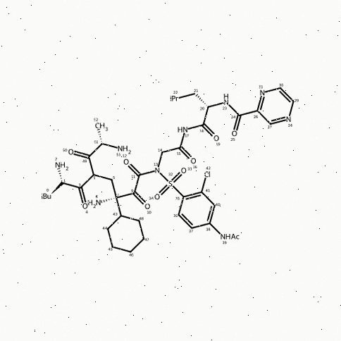 CC[C@H](C)[C@H](N)C(=O)C(C[C@@](N)(C(=O)C(=O)N(CC(=O)NC(=O)[C@H](CC(C)C)NC(=O)c1cnccn1)S(=O)(=O)c1ccc(NC(C)=O)cc1Cl)C1CCCCC1)C(=O)[C@H](C)N